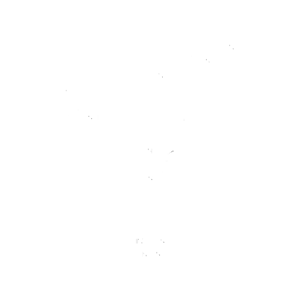 CN1CCN(S(=O)(=O)c2cncc(-c3ccc(C[C@H](NC(=O)C4CCC(CNC(=O)OC(C)(C)C)CC4)C(=O)Nc4ccc(-c5nnn[nH]5)cc4)cc3)c2)CC1